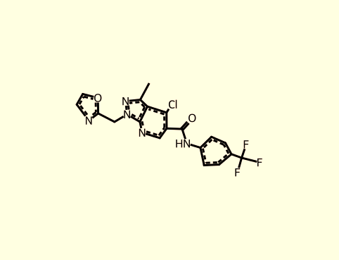 Cc1nn(Cc2ncco2)c2ncc(C(=O)Nc3ccc(C(F)(F)F)cc3)c(Cl)c12